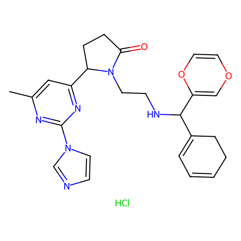 Cc1cc(C2CCC(=O)N2CCNC(C2=CC=CCC2)C2=COC=CO2)nc(-n2ccnc2)n1.Cl